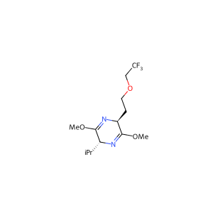 COC1=N[C@H](C(C)C)C(OC)=N[C@H]1CCOCC(F)(F)F